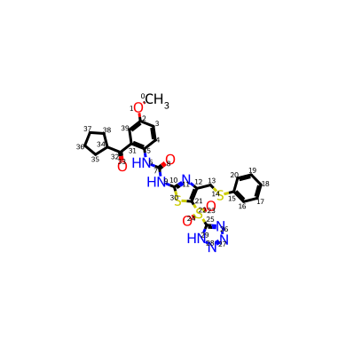 COc1ccc(NC(=O)Nc2nc(CSc3ccccc3)c(S(=O)(=O)c3nnn[nH]3)s2)c(C(=O)C2CCCC2)c1